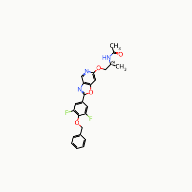 CC(=O)N[C@@H](C)COc1cc2oc(-c3cc(F)c(OCc4ccccc4)c(F)c3)nc2cn1